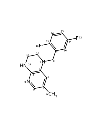 Cc1cnc2c(c1)N(Cc1cc(F)ccc1F)CCN2